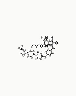 CCCCOc1nc(N)c2[nH]c(=O)n(Cc3ccc(CN4CCC(C5CCN(C(=O)OC(C)(C)C)CC5)CC4)cc3)c2n1